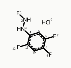 Cl.FNNc1cc(F)c(F)cc1F